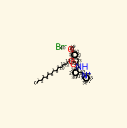 CCCCCCCCCCCCCCOc1cc(OC)ccc1CC(=O)Nc1ccccc1C[n+]1ccccc1.[Br-]